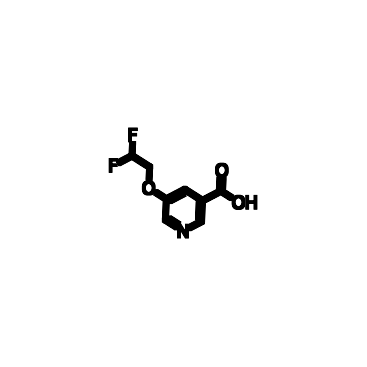 O=C(O)c1cncc(OCC(F)F)c1